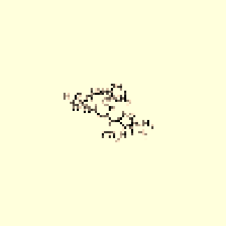 CC1(C)OCC(C[C@@H](CCOS(C)(=O)=O)CO[Si](C)(C)C(C)(C)C)N1C(=O)O